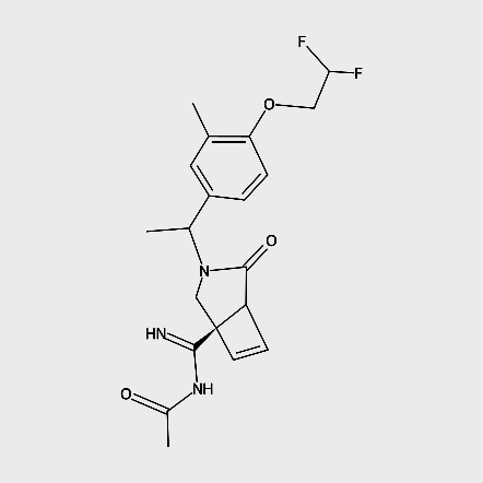 CC(=O)NC(=N)[C@]12C=CC1C(=O)N(C(C)c1ccc(OCC(F)F)c(C)c1)C2